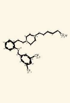 O=C(O)CCCCCN1CCN(CCc2ccccc2OCc2cc(C(F)(F)F)cc(C(F)(F)F)c2)CC1